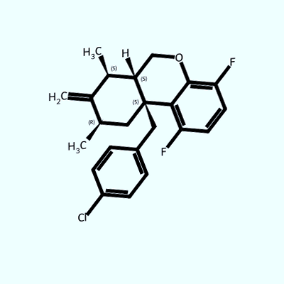 C=C1[C@H](C)C[C@@]2(Cc3ccc(Cl)cc3)c3c(F)ccc(F)c3OC[C@H]2[C@@H]1C